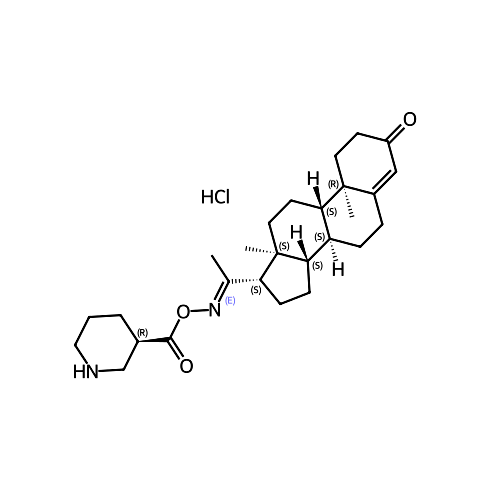 C/C(=N\OC(=O)[C@@H]1CCCNC1)[C@H]1CC[C@H]2[C@@H]3CCC4=CC(=O)CC[C@]4(C)[C@H]3CC[C@]12C.Cl